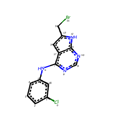 Clc1cccc(Nc2ncnc3[nH]c(CBr)cc23)c1